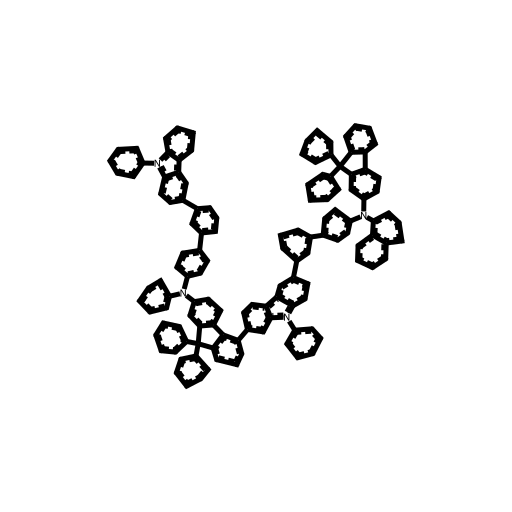 c1ccc(N(c2ccc(-c3cccc(-c4ccc5c(c4)c4ccccc4n5-c4ccccc4)c3)cc2)c2ccc3c(c2)C(c2ccccc2)(c2ccccc2)c2cccc(-c4ccc5c6cc(-c7cccc(-c8ccc(N(c9ccc%10c(c9)C(c9ccccc9)(c9ccccc9)c9ccccc9-%10)c9cccc%10ccccc9%10)cc8)c7)ccc6n(-c6ccccc6)c5c4)c2-3)cc1